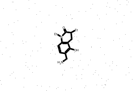 CCC1Cc2c(ccc(CN)c2O)N(CC)C1=O